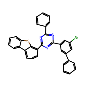 Brc1cc(-c2ccccc2)cc(-c2nc(-c3ccccc3)nc(-c3cccc4c3sc3ccccc34)n2)c1